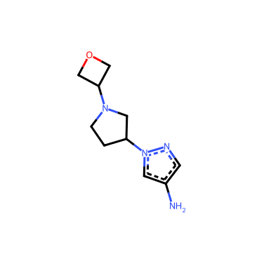 Nc1cnn(C2CCN(C3COC3)C2)c1